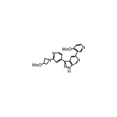 COc1ccncc1-c1cc2c(-c3ccnc(N4CC(OC)C4)c3)n[nH]c2cn1